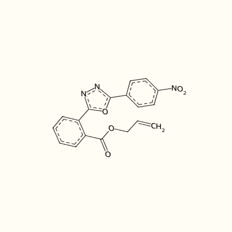 C=CCOC(=O)c1ccccc1-c1nnc(-c2ccc([N+](=O)[O-])cc2)o1